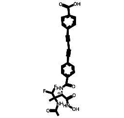 CC(=O)NC(C)(C(F)F)[C@H](NC(=O)c1ccc(C#CC#Cc2ccc(C(=O)O)cc2)cc1)C(=O)NO